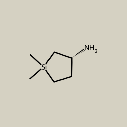 C[Si]1(C)CC[C@@H](N)C1